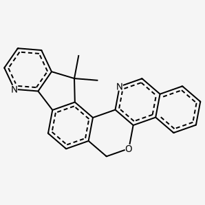 CC1(C)c2cccnc2-c2ccc3c(c21)-c1ncc2ccccc2c1OC3